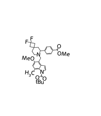 COC(=O)c1ccc(C2CC3(CCN2Cc2c(OC)cc(C)c4c2ccn4C(=O)OC(C)(C)C)CC(F)(F)C3)cc1